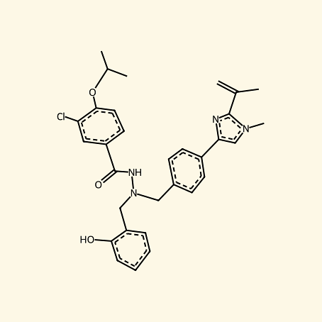 C=C(C)c1nc(-c2ccc(CN(Cc3ccccc3O)NC(=O)c3ccc(OC(C)C)c(Cl)c3)cc2)cn1C